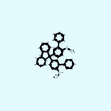 COc1ccc(C2(c3ccc(OC)c(-c4ccccc4)c3)c3ccccc3-c3ccccc32)cc1-c1ccccc1